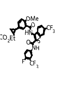 CCOC(=O)C1CC1c1ccc(OC)c(C(=O)Nc2c(C(=O)Nc3ccc(F)c(C(F)(F)F)c3)sc3cc(C(F)(F)F)ccc23)c1